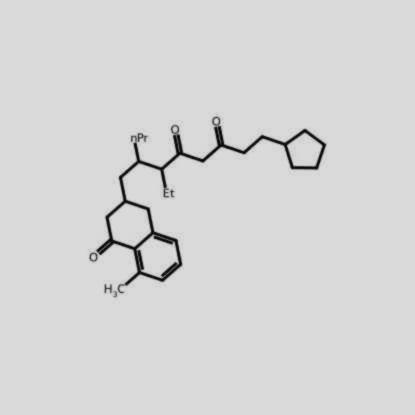 CCCC(CC1CC(=O)c2c(C)cccc2C1)C(CC)C(=O)CC(=O)CCC1CCCC1